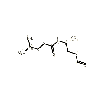 C=CSC[C@H](NC(=O)CC[C@H](N)C(=O)O)C(=O)O